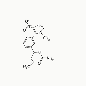 C=CCC(OC(N)=O)c1cccc(-c2c([N+](=O)[O-])cnn2C)c1